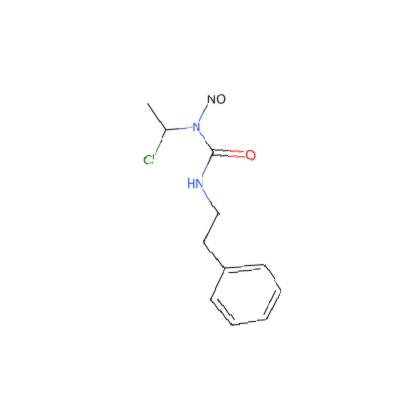 CC(Cl)N(N=O)C(=O)NCCc1ccccc1